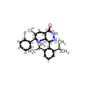 CC(C)c1cccc(C(C)C)c1-c1n[nH]c(=O)c2cc(Cl)c(-c3ccccc3F)nc12